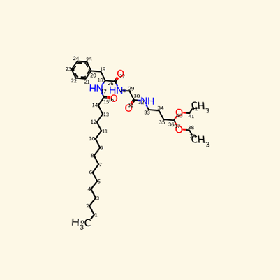 CCCCCCCCCCCCCCCC(=O)NC(Cc1ccccc1)C(=O)NCC(=O)NCCCC(OCC)OCC